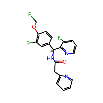 O=C(Cc1ccccn1)N[C@@H](c1ccc(OCF)c(F)c1)c1ncccc1F